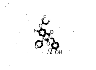 COc1cc(Cn2c(=O)c3cc(OC(CF)CF)c(F)cc3n(C3CCOCC3)c2=O)ccc1O